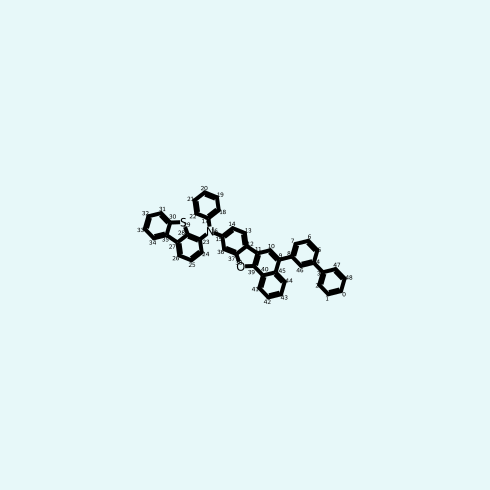 c1ccc(-c2cccc(-c3cc4c5ccc(N(c6ccccc6)c6cccc7c6sc6ccccc67)cc5oc4c4ccccc34)c2)cc1